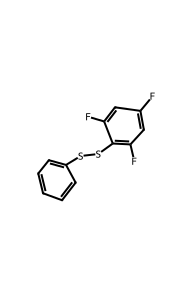 Fc1cc(F)c(SSc2ccccc2)c(F)c1